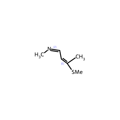 C/N=C\C=C(/C)SC